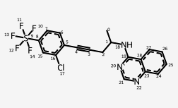 CC(CC#Cc1ccc(S(F)(F)(F)(F)F)cc1Cl)Nc1ncnc2ccccc12